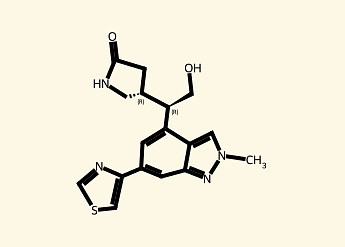 Cn1cc2c([C@H](CO)[C@@H]3CNC(=O)C3)cc(-c3cscn3)cc2n1